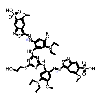 CCN(CC)c1cc(Nc2nc(Nc3cc(N(CC)CC)c(OC)cc3/N=N/c3snc4cc(S(=O)(=O)O)c(OC)cc34)nc(SCCO)n2)c(/N=N/c2snc3cc(S(=O)(=O)O)c(OC)cc23)cc1OC